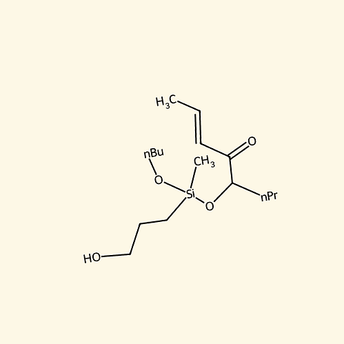 CC=CC(=O)C(CCC)O[Si](C)(CCCO)OCCCC